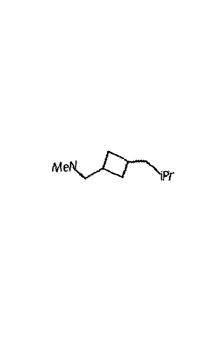 CNCC1CC(CC(C)C)C1